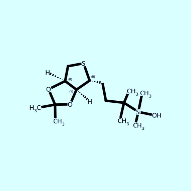 CC1(C)O[C@H]2[C@H](CS[C@@H]2CCC(C)(C)[Si](C)(C)O)O1